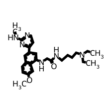 CCN(CC)CCCCNC(=O)CNc1cc(-c2ccnc(NC)n2)cc2ccc(OC)cc12